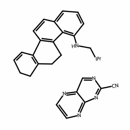 CC(C)CNc1cccc2ccc3c(c12)CCC1=C3C=CCC1.N#Cc1ncc2nccnc2n1